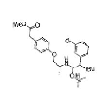 COC(=O)Cc1ccc(OC[C@@H](C)NC(O[SiH](C)C)[C@@H](c2cccc(Cl)c2)C(C)(C)C)cc1